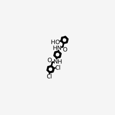 O=C(Nc1ccc(NC(=O)c2ccc(Cl)cc2Cl)cc1)c1ccccc1O